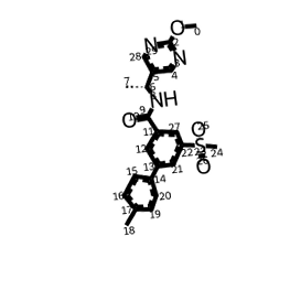 COc1ncc([C@@H](C)NC(=O)c2cc(-c3ccc(C)cc3)cc(S(C)(=O)=O)c2)cn1